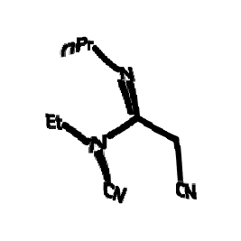 CCCN=C(CC#N)N(C#N)CC